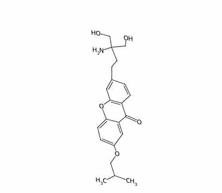 CC(C)COc1ccc2oc3cc(CCC(N)(CO)CO)ccc3c(=O)c2c1